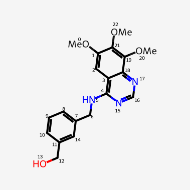 COc1cc2c(NCc3cccc(CO)c3)ncnc2c(OC)c1OC